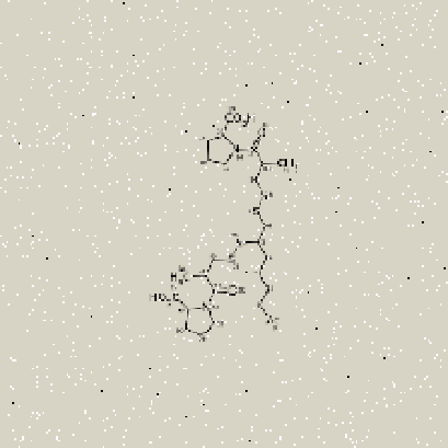 CC(=O)CCCCC(CSSCC(C)C(=O)N1CCCC1C(=O)O)SSCC(C)C(=O)N1CCCC1C(=O)O